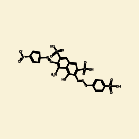 Nc1c(/N=N/c2ccc([N+](=O)[O-])cc2)c(S(=O)(=O)O)cc2cc(S(=O)(=O)O)c(/N=N/[N]c3ccc(S(=O)(=O)O)cc3)c(O)c12